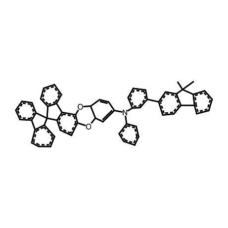 CC1(C)c2ccccc2-c2ccc(-c3cccc(N(C4=CC5Oc6ccc7c(c6OC5C=C4)-c4ccccc4C74c5ccccc5-c5ccccc54)c4ccccc4)c3)cc21